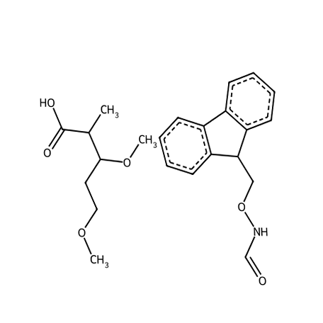 COCCC(OC)C(C)C(=O)O.O=CNOCC1c2ccccc2-c2ccccc21